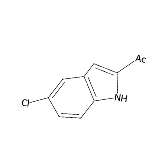 CC(=O)c1cc2cc(Cl)ccc2[nH]1